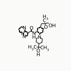 CC(C)(O)C1CCN(c2cc3c(cc2NC(=O)c2cnn4cccnc24)C[C@@](C)(CO)O3)CC1